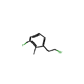 Cc1c(F)cccc1CCBr